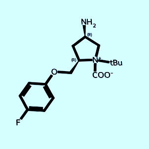 CC(C)(C)[N+]1(C(=O)[O-])C[C@H](N)C[C@@H]1COc1ccc(F)cc1